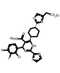 CCOC(=O)Cc1coc([C@H]2CC[C@H](C3=C(C(=O)OC)C(c4ccc(F)c(F)c4Cl)N=C(c4nccs4)N3)CC2)n1